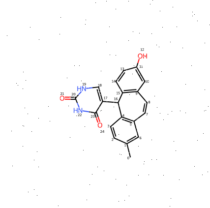 Cc1ccc2c(c1)C=Cc1cc(O)ccc1C2c1c[nH]c(=O)[nH]c1=O